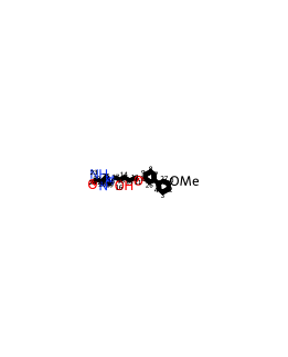 COc1cccc(-c2cccc(OCCC[C@H](O)Cn3cnc(C(N)=O)c3)c2)c1